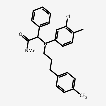 CNC(=O)C(c1ccccc1)N(CCCc1ccc(C(F)(F)F)cc1)c1ccc(C)c(Cl)c1